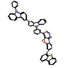 c1ccc(-n2c3ccccc3c3cc(-c4ccc5c(c4)c4ccccc4n5-c4cccc(-c5ncnc6c5oc5cc(-c7cccc8c7sc7ccccc78)ccc56)c4)ccc32)cc1